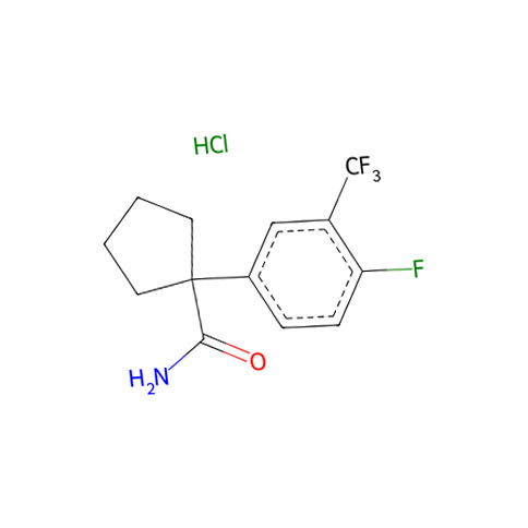 Cl.NC(=O)C1(c2ccc(F)c(C(F)(F)F)c2)CCCC1